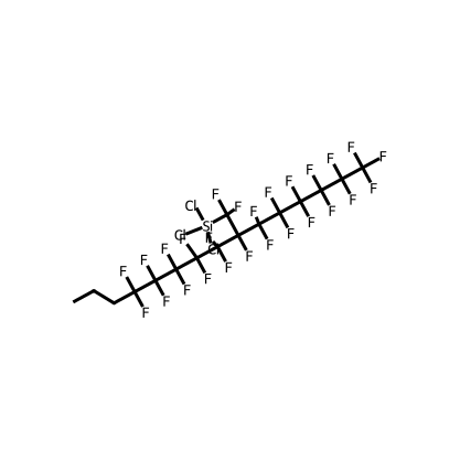 CCCC(F)(F)C(F)(F)C(F)(F)C(F)(F)C(F)(F)C(F)(C(F)(F)C(F)(F)C(F)(F)C(F)(F)C(F)(F)C(F)(F)F)C(F)(F)[Si](Cl)(Cl)Cl